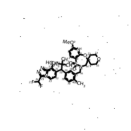 COc1ccc2c(n1)OC1(CCOCC1)CN(Cc1cc(C(c3ccn4c(C(F)F)nnc4c3C)C(C)(C)C(=O)O)ccc1C)S2(=O)=O